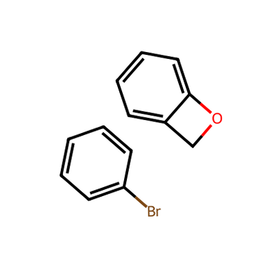 Brc1ccccc1.c1ccc2c(c1)CO2